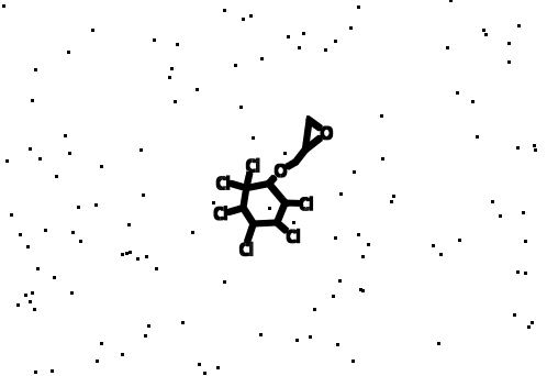 ClC1C(Cl)C(Cl)C(Cl)(Cl)C(OCC2CO2)C1Cl